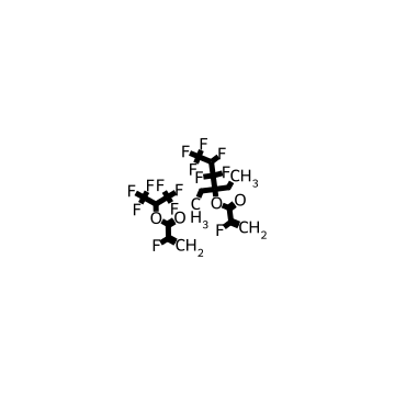 C=C(F)C(=O)OC(C(F)(F)F)C(F)(F)F.C=C(F)C(=O)OC(CC)(CC)C(F)(F)C(F)C(F)(F)F